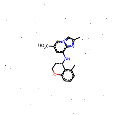 Cc1cn2cc(C(=O)O)cc(NC3CCOc4cccc(C)c43)c2n1